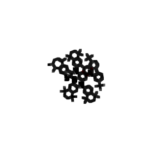 CC1=CCC(C)C(C)c2cc3sc4c(c3cc21)N(c1cc2c(cc1-c1ccccc1)C(C)(C)CCC2(C)C)c1cc(-n2c3cc(C(C)(C)C)ccc3c3ccc(C(C)(C)C)cc32)cc2c1B4C1=C(CC3C(=C1)C(C)(C)CCC3(C)C)N2c1ccc2c(c1)C(C)(C)CCC2(C)C